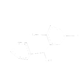 Nc1ccc(Cl)cc1C(O)c1ccccc1